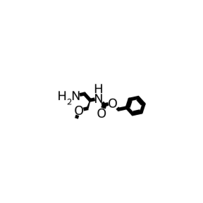 COC[C@@H](CN)NC(=O)OCc1ccccc1